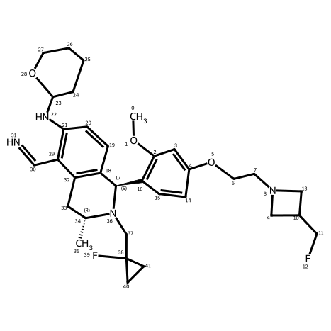 COc1cc(OCCN2CC(CF)C2)ccc1[C@@H]1c2ccc(NC3CCCCO3)c(C=N)c2C[C@@H](C)N1CC1(F)CC1